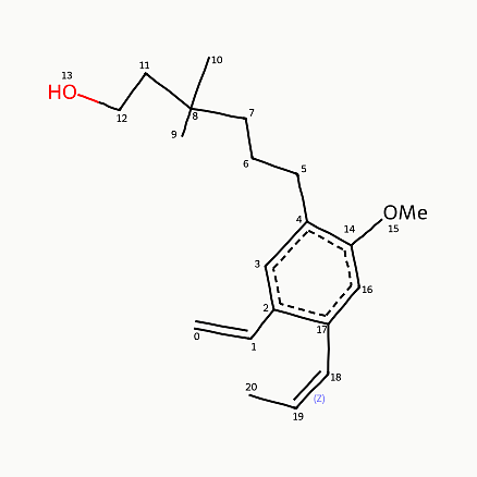 C=Cc1cc(CCCC(C)(C)CCO)c(OC)cc1/C=C\C